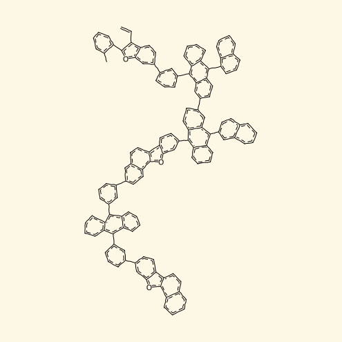 C=Cc1c(-c2ccccc2C)oc2cc(-c3cccc(-c4c5ccccc5c(-c5cccc6ccccc56)c5ccc(-c6ccc7c(-c8ccc9c(c8)oc8c%10ccc(-c%11cccc(-c%12c%13ccccc%13c(-c%13cccc(-c%14ccc%15c(c%14)oc%14c%16ccccc%16ccc%15%14)c%13)c%13ccccc%12%13)c%11)cc%10ccc98)c8ccccc8c(-c8ccc9ccccc9c8)c7c6)cc45)c3)ccc12